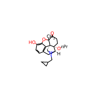 CCCO[C@@]12CCC(=O)C3(C)Oc4c(O)ccc5c4[C@@]31CCN(CC1CC1)[C@@H]2C5